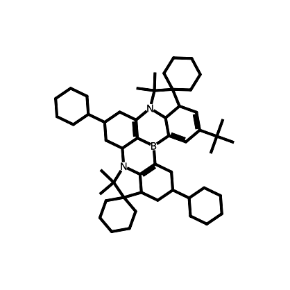 CC(C)(C)C1=CC2C3C(=C1)B1C4=C5C(CC(C6CCCCC6)C4)C4(CCCCC4)C(C)(C)N5C4CC(C5CCCCC5)CC(=C14)N3C(C)(C)C21CCCCC1